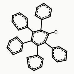 [O]c1c(-c2ccccc2)c(-c2ccccc2)c(-c2ccccc2)c(-c2ccccc2)c1-c1ccccc1